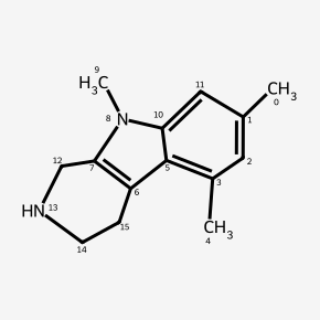 Cc1cc(C)c2c3c(n(C)c2c1)CNCC3